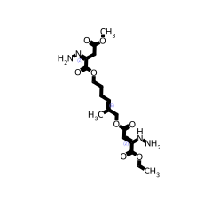 CCOC(=O)/C(=C/C(=O)OC/C(C)=C/CCCOC(=O)/C(CC(=O)OC)=N\N)NN